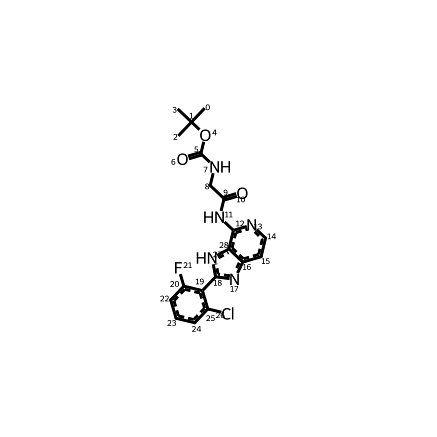 CC(C)(C)OC(=O)NCC(=O)Nc1nccc2nc(-c3c(F)cccc3Cl)[nH]c12